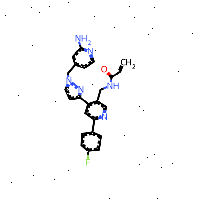 C=CC(=O)NCc1cnc(-c2ccc(F)cc2)cc1-c1ccn(Cc2ccnc(N)c2)n1